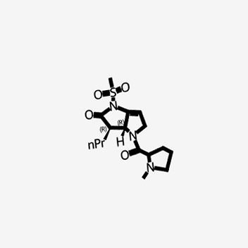 CCC[C@H]1C(=O)N(S(C)(=O)=O)C2=CCN(C(=O)C3CCCN3C)[C@@H]21